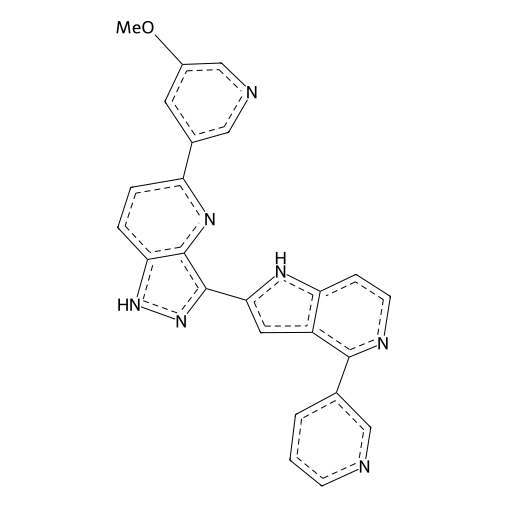 COc1cncc(-c2ccc3[nH]nc(-c4cc5c(-c6cccnc6)nccc5[nH]4)c3n2)c1